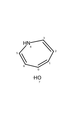 C1=CC=CNC=C1.[OH]